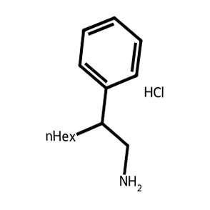 CCCCCCC(CN)c1ccccc1.Cl